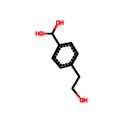 OCCc1ccc(C(O)O)cc1